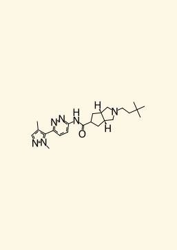 Cc1cnn(C)c1-c1ccc(NC(=O)C2C[C@@H]3CN(CCC(C)(C)C)C[C@@H]3C2)nn1